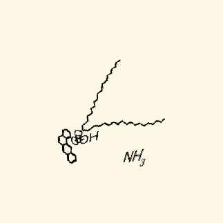 CCCCCCCCCCCCCCCCCCC(CCCCCCCCCCCCCCCCCC)OB(O)Oc1cccc2ccc3cc4ccccc4cc3c12.N